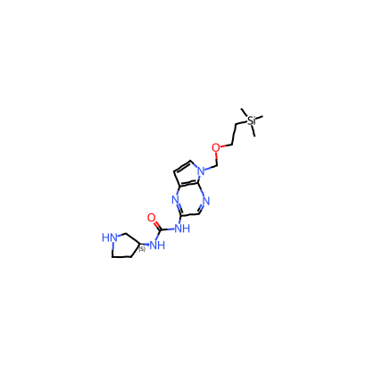 C[Si](C)(C)CCOCn1ccc2nc(NC(=O)N[C@H]3CCNC3)cnc21